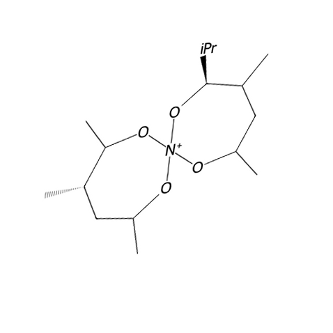 CC1CC(C)[C@H](C(C)C)O[N+]2(O1)OC(C)C[C@H](C)C(C)O2